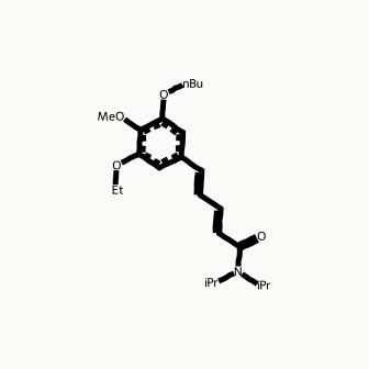 CCCCOc1cc(/C=C/C=C/C(=O)N(C(C)C)C(C)C)cc(OCC)c1OC